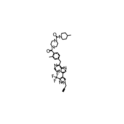 C#CCn1cc(-c2cnc3c(Cc4ccc(C(=O)N5CCN(C(=O)N6CCC(C)CC6)CC5)c(C)c4)nccn23)c(C(F)(F)F)n1